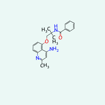 Cc1cc(N)c2c(OCC(C)(C)NC(=O)c3ccccc3)cccc2n1